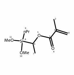 C=C(C)C(=O)OC(C)[Si](CCC)(OC)OC